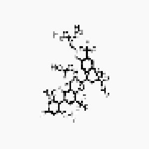 Cc1cc(F)cc(C)c1-c1cc(C(F)(F)F)c(F)c([C@H](CC(=O)O)NC(=O)C(CC(C)C)n2cc(CCCN(C)C)c(C(F)(F)F)cc2=O)c1F